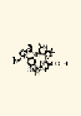 C=CC(=O)Nc1cc(Nc2ncc(C(=O)O)c(N3CC(C)(C)c4nc(C)ccc43)n2)c(OC)cc1N1CCC[C@@H]1CN(C)C